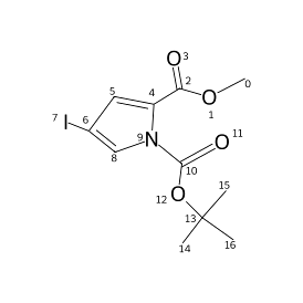 COC(=O)c1cc(I)cn1C(=O)OC(C)(C)C